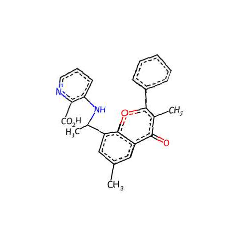 Cc1cc(C(C)Nc2cccnc2C(=O)O)c2oc(-c3ccccc3)c(C)c(=O)c2c1